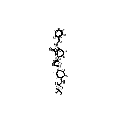 CC(C)(C)OC(=O)N[C@H]1CC[C@H](c2nnc([C@@H]3CCC4CN3C(=O)N4OCc3ccccc3)o2)CC1